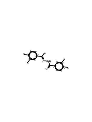 C/C(=N\NC(=O)c1ccc(C)c(C)c1)c1ccc(C)c(C)c1